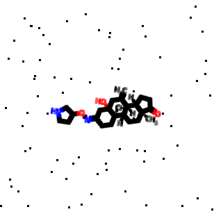 C=C1C[C@@]2(O)CC(=NOC3CCNC3)CC[C@]2(C)[C@H]2CC[C@]3(C)C(=O)CC[C@H]3[C@H]12